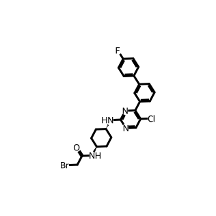 O=C(CBr)N[C@H]1CC[C@H](Nc2ncc(Cl)c(-c3cccc(-c4ccc(F)cc4)c3)n2)CC1